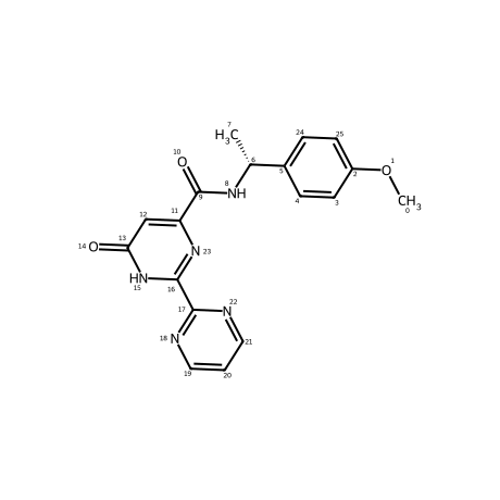 COc1ccc([C@@H](C)NC(=O)c2cc(=O)[nH]c(-c3ncccn3)n2)cc1